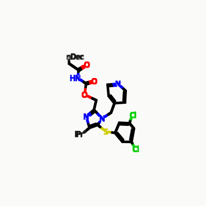 CCCCCCCCCCCC(=O)NC(=O)OCc1nc(C(C)C)c(Sc2cc(Cl)cc(Cl)c2)n1Cc1ccncc1